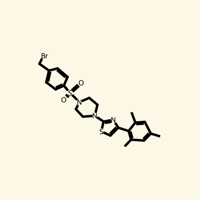 Cc1cc(C)c(-c2csc(N3CCN(S(=O)(=O)c4ccc(CBr)cc4)CC3)n2)c(C)c1